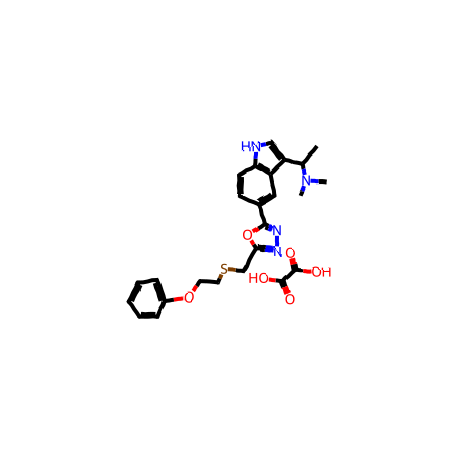 CC(c1c[nH]c2ccc(-c3nnc(CSCCOc4ccccc4)o3)cc12)N(C)C.O=C(O)C(=O)O